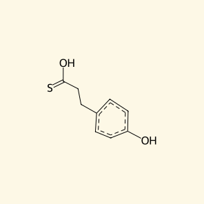 OC(=S)CCc1ccc(O)cc1